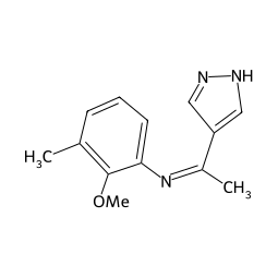 COc1c(C)cccc1N=C(C)c1cn[nH]c1